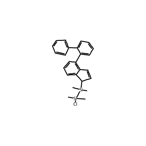 C[Si](C)(Cl)[Si](C)(C)C1C=Cc2c(-c3ccccc3-c3ccccc3)cccc21